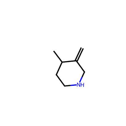 C=C1CNCCC1C